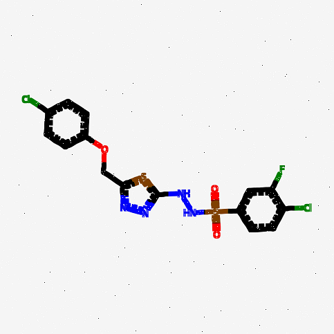 O=S(=O)(NNc1nnc(COc2ccc(Cl)cc2)s1)c1ccc(Cl)c(F)c1